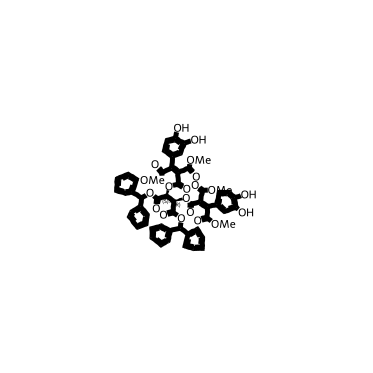 COC(=O)C(C(=O)O[C@H](C(=O)OC(c1ccccc1)c1ccccc1)[C@@H](OC(=O)C(C(=O)OC)=C(C(=O)OC)c1ccc(O)c(O)c1)C(=O)OC(c1ccccc1)c1ccccc1)=C(C(=O)OC)c1ccc(O)c(O)c1